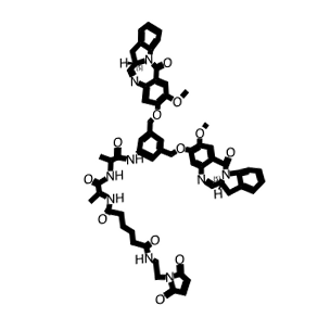 COc1cc2c(cc1OCc1cc(COc3cc4c(cc3OC)C(=O)N3c5ccccc5C[C@H]3C=N4)cc(NC(=O)C(C)NC(=O)C(C)NC(=O)CCCCC(=O)NCCN3C(=O)C=CC3=O)c1)N=C[C@@H]1Cc3ccccc3N1C2=O